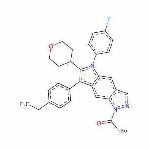 CC(C)(C)C(=O)n1ncc2cc3c(cc21)c(-c1ccc(CC(F)(F)F)cc1)c(C1CCOCC1)n3-c1ccc(F)cc1